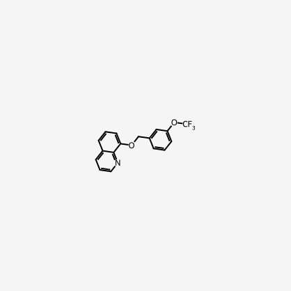 FC(F)(F)Oc1cccc(COc2cccc3cccnc23)c1